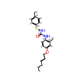 CCCCCCOc1ccc(NC(=O)NSc2ccc(C)cc2)c(C)c1